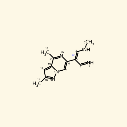 CN/C=C(\C=N)c1cn2nc(C)cc2c(C)n1